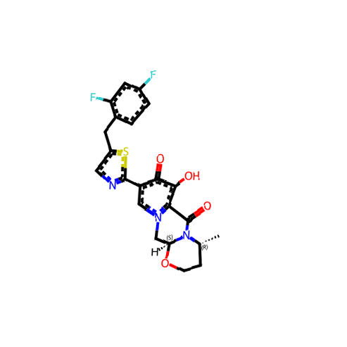 C[C@@H]1CCO[C@H]2Cn3cc(-c4ncc(Cc5ccc(F)cc5F)s4)c(=O)c(O)c3C(=O)N12